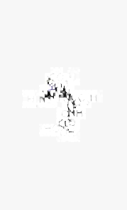 CC(C)(O/N=C(\C(=O)N[C@@H]1C(=O)N2C[C@@](C(=O)O)(N3CCN(NC(=O)C(=O)c4ccc(O)c(O)c4Cl)C(=O)C3=O)S[C@H]12)c1nsc(N)n1)C(=O)O